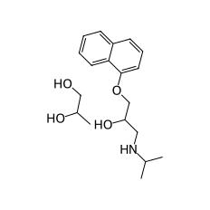 CC(C)NCC(O)COc1cccc2ccccc12.CC(O)CO